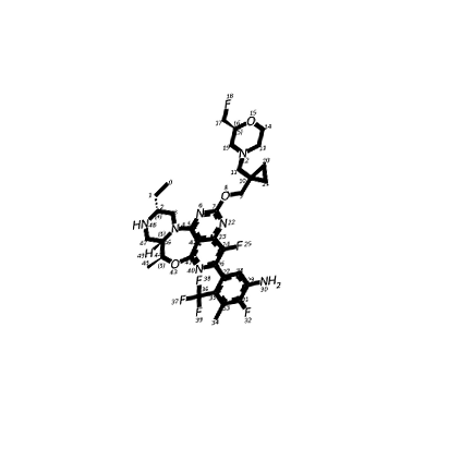 CC[C@@H]1CN2c3nc(OCC4(CN5CCO[C@H](CF)C5)CC4)nc4c(F)c(-c5cc(N)c(F)c(C)c5C(F)(F)F)nc(c34)O[C@@H](C)[C@@H]2CN1